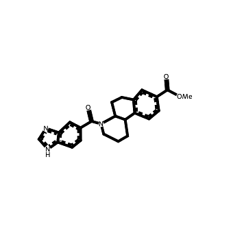 COC(=O)c1ccc2c(c1)CCC1C2CCCN1C(=O)c1ccc2[nH]cnc2c1